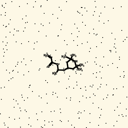 C=CC(=O)OC(C)OC1CC(C)(C)NC(C)(C)C1